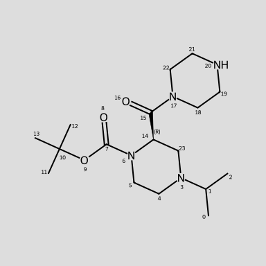 CC(C)N1CCN(C(=O)OC(C)(C)C)[C@@H](C(=O)N2CCNCC2)C1